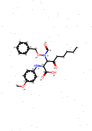 CCCCCC(=O)C([C@H](Nc1ccc(OC)cc1)C(=O)O)N(C=O)OCc1ccccc1